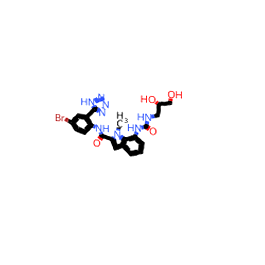 Cn1c(C(=O)Nc2ccc(Br)cc2-c2nnn[nH]2)cc2cccc(NC(=O)NCC(O)CO)c21